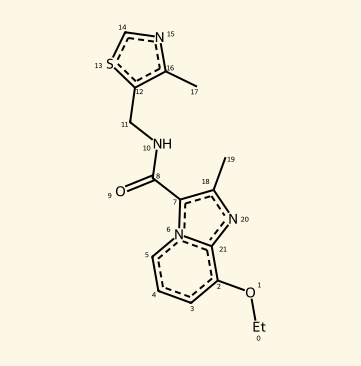 CCOc1cccn2c(C(=O)NCc3scnc3C)c(C)nc12